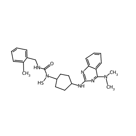 Cc1ccccc1CNC(=O)N(S)C1CCC(Nc2nc(N(C)C)c3ccccc3n2)CC1